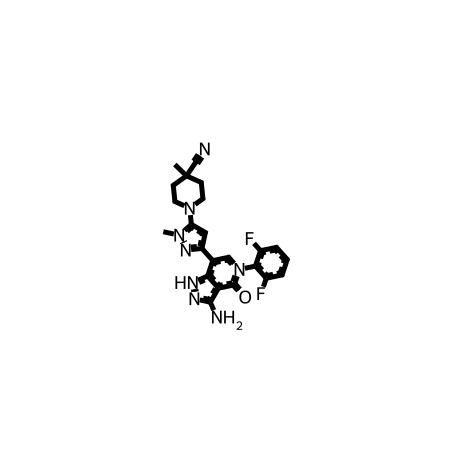 Cn1nc(-c2cn(-c3c(F)cccc3F)c(=O)c3c(N)n[nH]c23)cc1N1CCC(C)(C#N)CC1